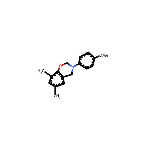 COc1ccc(N2COc3c(C)cc(C)cc3C2)cc1